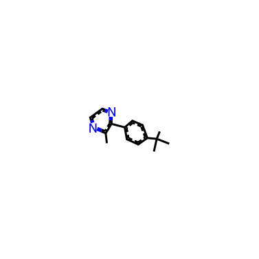 Cc1nccnc1-c1ccc(C(C)(C)C)cc1